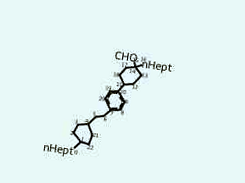 CCCCCCCC1CCC(CCc2ccc(C3CCC(C=O)(CCCCCCC)CC3)cc2)CC1